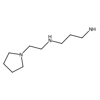 [NH]CCCNCCN1CCCC1